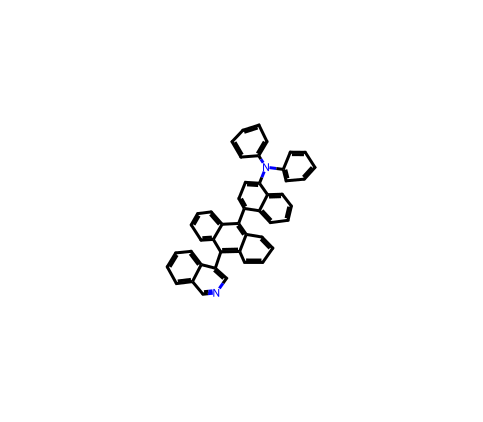 c1ccc(N(c2ccccc2)c2ccc(-c3c4ccccc4c(-c4cncc5ccccc45)c4ccccc34)c3ccccc23)cc1